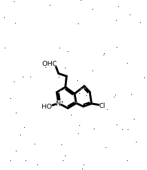 O=CCCc1c[n+](O)cc2cc(Cl)ccc12